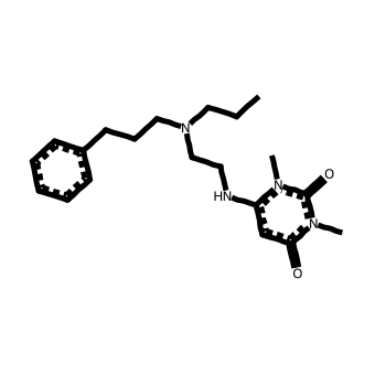 CCCN(CCCc1ccccc1)CCNc1cc(=O)n(C)c(=O)n1C